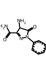 NC(=O)C1=NN(c2ccccc2)C(=O)C1N